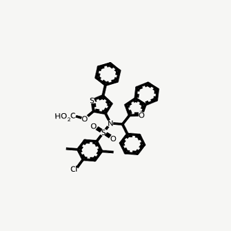 Cc1cc(S(=O)(=O)N(c2cc(-c3ccccc3)sc2OC(=O)O)C(c2ccccc2)c2cc3ccccc3o2)c(C)cc1Cl